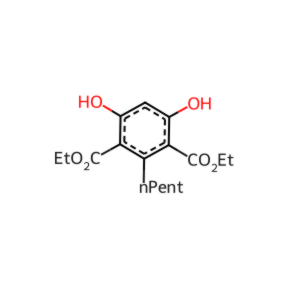 CCCCCc1c(C(=O)OCC)c(O)cc(O)c1C(=O)OCC